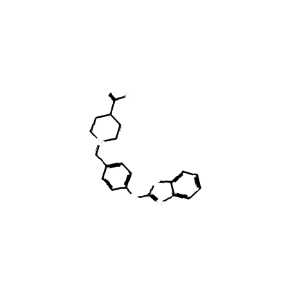 NC(=O)C1CCN(Cc2ccc(Oc3nc4ccccc4s3)cc2)CC1